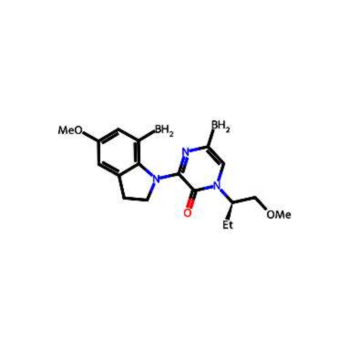 Bc1cn([C@H](CC)COC)c(=O)c(N2CCc3cc(OC)cc(B)c32)n1